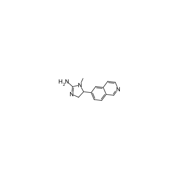 CN1C(N)=NCC1c1ccc2cnccc2c1